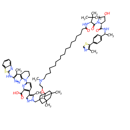 Cc1ncsc1-c1ccc([C@H](C)NC(=O)[C@@H]2C[C@@H](O)CN2C(=O)[C@@H](NC(=O)CCCCCCCCCCCCCCCCN(C)CCOC23CC4(C)CC(C)(CC(Cn5ncc(-c6ccc(N7CCCc8c7nnc(Nc7nc9ccccc9s7)c8C)nc6C(=O)O)c5C)(C4)C2)C3)C(C)(C)C)cc1